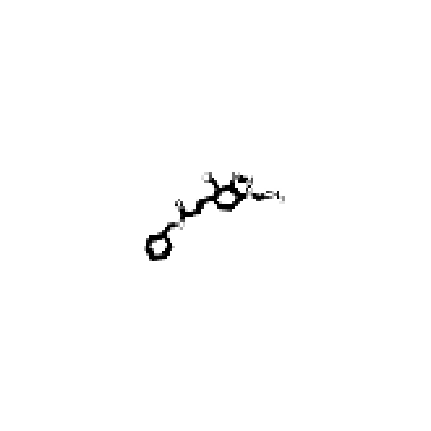 CCn1nnc2c(Cl)c(/C=C/C(=O)OCc3ccccc3)ccc21